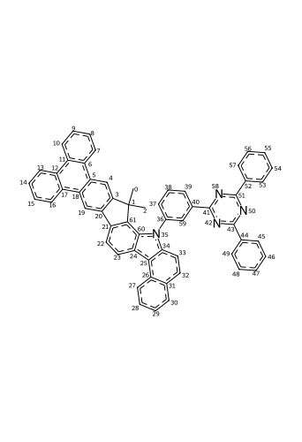 CC1(C)c2cc3c4ccccc4c4ccccc4c3cc2-c2ccc3c4c5ccccc5ccc4n(-c4cccc(-c5nc(-c6ccccc6)nc(-c6ccccc6)n5)c4)c3c21